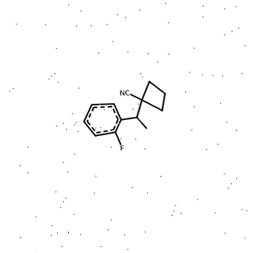 CC(c1ccccc1F)C1(C#N)CCC1